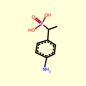 CC(c1ccc(N)cc1)P(=O)(O)O